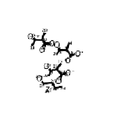 CC(=O)C(C)C(=O)[O-].CC(=O)C(C)C(=O)[O-].CC(=O)C(C)C(=O)[O-].CCCC[O-].[Zr+4]